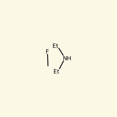 CCNCC.CF